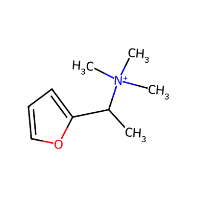 CC(c1ccco1)[N+](C)(C)C